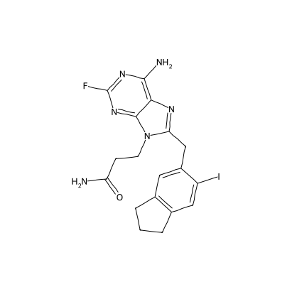 NC(=O)CCn1c(Cc2cc3c(cc2I)CCC3)nc2c(N)nc(F)nc21